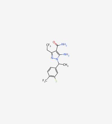 CC(c1ccc(C(F)(F)F)c(F)c1)n1nc(CC(F)(F)F)c(C(N)=O)c1N